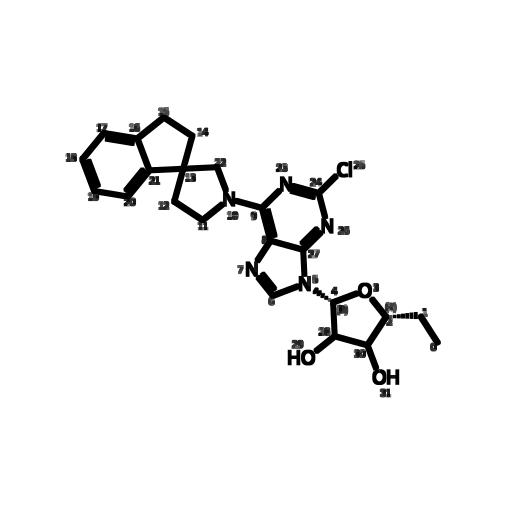 CC[C@H]1O[C@@H](n2cnc3c(N4CCC5(CCc6ccccc65)C4)nc(Cl)nc32)C(O)C1O